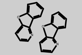 c1ccc2c(c1)oc1cccnc12.c1ccc2c(c1)oc1cccnc12